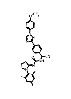 Cc1cc(C)c(N2CCS/C2=N\C(=O)NC(C#N)c2ccc(-c3ncn(-c4ccc(OC(F)(F)F)cc4)n3)cc2)c(C)c1